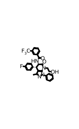 Cc1nn(-c2ccccc2)c2c1[C@H](c1ccc(F)cc1)[C@H](NC(=O)c1cccc(C(F)(F)F)c1)C(=O)N2CCO